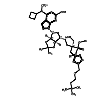 CCOP(=O)(OCC)[C@@](COC)(Cc1nnn(COCC[Si](C)(C)C)n1)OC[C@H]1O[C@@H](n2ncc3c(N(C(=O)O)C4CCC4)nc(C=O)nc32)[C@@H]2OC(C)(C)O[C@@H]21